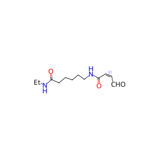 CCNC(=O)CCCCCNC(=O)/C=C\C=O